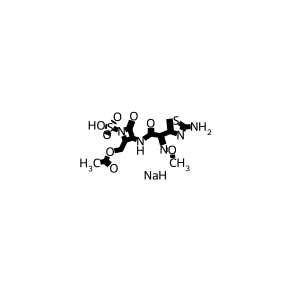 CO/N=C(/C(=O)NC1C(=O)N(S(=O)(=O)O)C1COC(C)=O)c1csc(N)n1.[NaH]